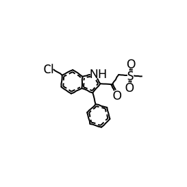 CS(=O)(=O)CC(=O)c1[nH]c2cc(Cl)ccc2c1-c1ccccc1